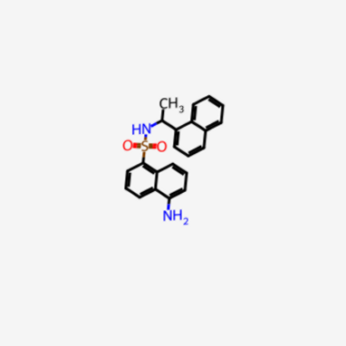 CC(NS(=O)(=O)c1cccc2c(N)cccc12)c1cccc2ccccc12